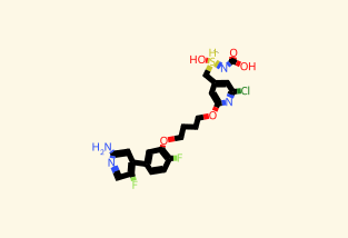 C[SH](O)(Cc1cc(Cl)nc(OCCCCOc2cc(-c3cc(N)ncc3F)ccc2F)c1)=NC(=O)O